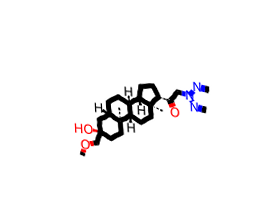 C=NN(CC(=O)[C@H]1CC[C@H]2[C@@H]3CC[C@H]4C[C@@](O)(COC)CC[C@]4(C)[C@H]3CC[C@]12C)N=C